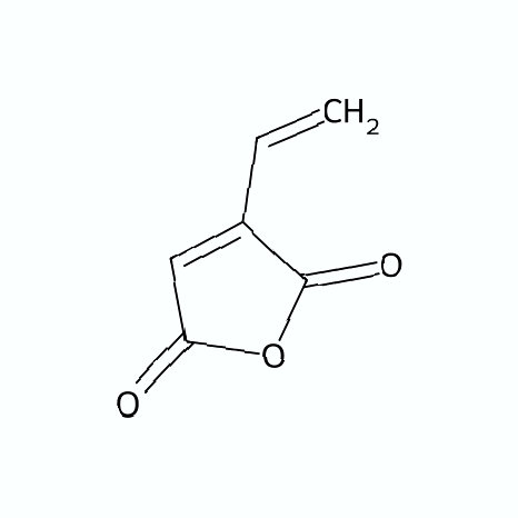 C=CC1=CC(=O)OC1=O